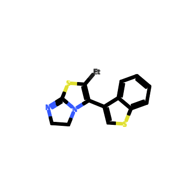 CCC1=C(c2csc3ccccc23)N2CCN=C2S1